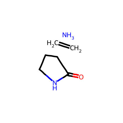 C=C.N.O=C1CCCN1